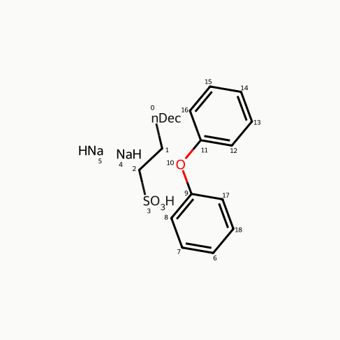 CCCCCCCCCCCCS(=O)(=O)O.[NaH].[NaH].c1ccc(Oc2ccccc2)cc1